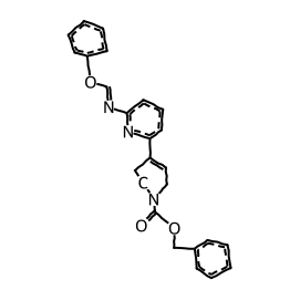 O=C(OCc1ccccc1)N1CC=C(c2cccc(N=COc3ccccc3)n2)CC1